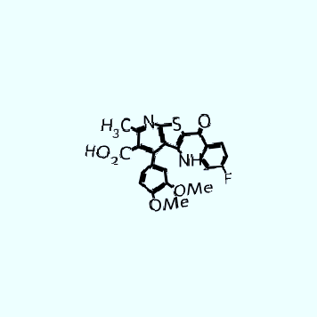 COc1ccc(-c2c(C(=O)O)c(C)nc3sc(C(=O)c4ccc(F)cc4)c(N)c23)cc1OC